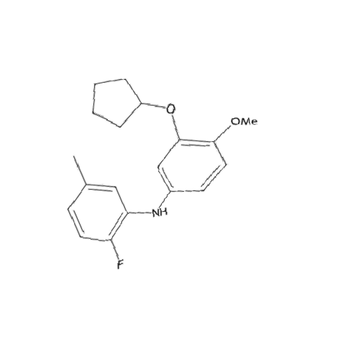 COc1ccc(Nc2cc(C)ccc2F)cc1OC1CCCC1